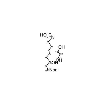 CCCCCCCCCCC(O)CCCCCCC(=O)O.OCCO